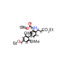 CCOCc1cc(OC)c(-c2ccc(CCC(=O)OCC)c(NC(=O)OC(C)(C)C)c2)c(OC)c1